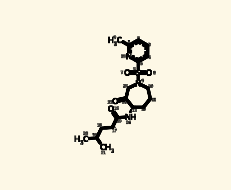 Cc1cccc(S(=O)(=O)N2CCC[C@H](NC(=O)[CH]CC(C)C)C(=O)C2)n1